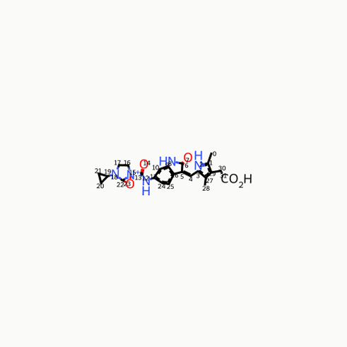 Cc1[nH]c(/C=C2\C(=O)Nc3cc(NC(=O)[N+]45CCN(C6CC6)C4O5)ccc32)c(C)c1CC(=O)O